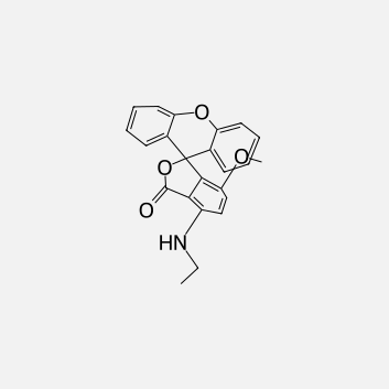 CCNc1ccc(OC)c2c1C(=O)OC21c2ccccc2Oc2ccccc21